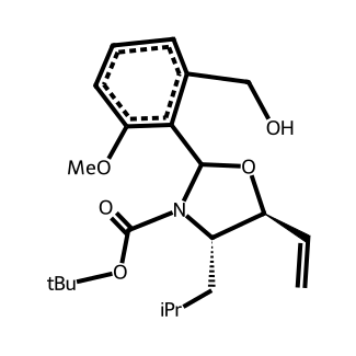 C=C[C@@H]1OC(c2c(CO)cccc2OC)N(C(=O)OC(C)(C)C)[C@H]1CC(C)C